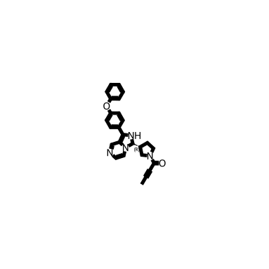 CC#CC(=O)N1CC[C@@H](C2NC(c3ccc(Oc4ccccc4)cc3)=C3C=NC=CN32)C1